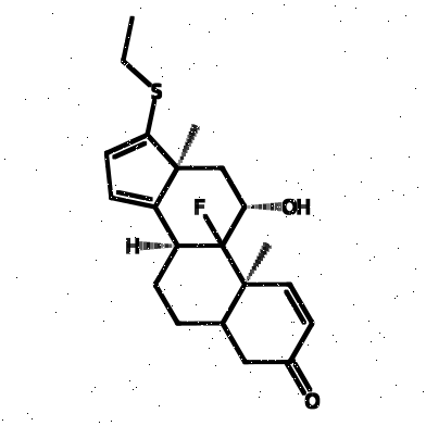 CCSC1=CC=C2[C@@H]3CCC4CC(=O)C=C[C@]4(C)C3(F)[C@@H](O)C[C@]12C